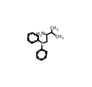 CC(C)[C@H](N)CP(c1ccccc1)c1ccccc1